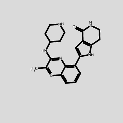 Cc1nc2cccc(-c3cc4c([nH]3)CCNC4=O)c2nc1NC1CCNCC1